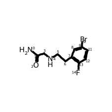 NC(=O)CNCCc1cc(Br)ccc1F